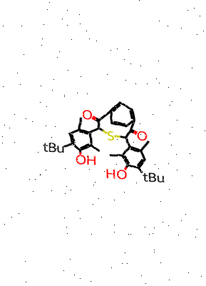 Cc1cc(C(C)(C)C)c(O)c(C)c1C1SC(c2c(C)cc(C(C)(C)C)c(O)c2C)C(=O)c2ccc(cc2)C1=O